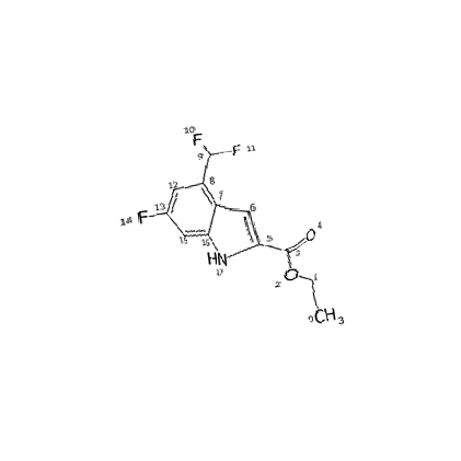 CCOC(=O)c1cc2c(C(F)F)cc(F)cc2[nH]1